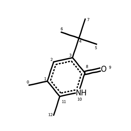 Cc1cc(C(C)(C)C)c(=O)[nH]c1C